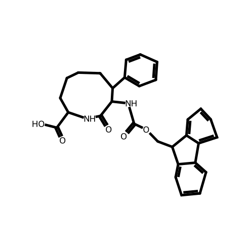 O=C(NC1C(=O)NC(C(=O)O)CCCCC1c1ccccc1)OCC1c2ccccc2-c2ccccc21